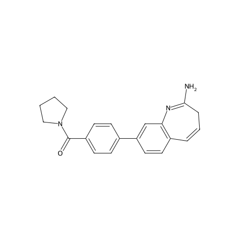 NC1=Nc2cc(-c3ccc(C(=O)N4CCCC4)cc3)ccc2C=CC1